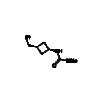 CNC(=O)N[C@H]1C[C@@H](CC(C)C)C1